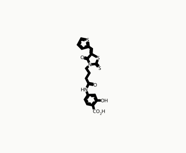 O=C(CCCN1C(=O)/C(=C\c2cccs2)SC1=S)Nc1ccc(C(=O)O)c(O)c1